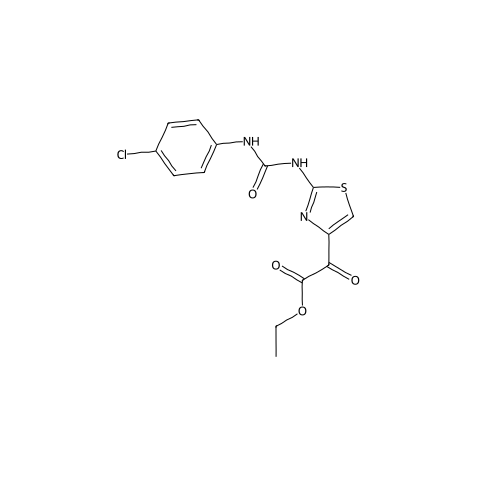 CCOC(=O)C(=O)c1csc(NC(=O)Nc2ccc(Cl)cc2)n1